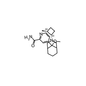 COC1(c2ccnc(C(N)=O)c2)C2CCCC1CN([C@H]1CC[C@@H]1C)C2